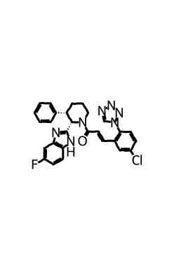 O=C(C=Cc1cc(Cl)ccc1-n1cnnn1)N1CCC[C@@H](c2ccccc2)[C@H]1c1nc2cc(F)ccc2[nH]1